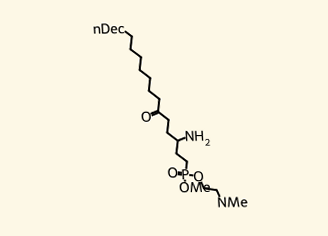 CCCCCCCCCCCCCCCCCC(=O)CCC(N)CCP(=O)(OC)OCCNC